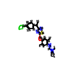 CCN(C)/C=N/c1cc(C)c(Oc2nc(C(C)c3ccc(Cl)cc3)ns2)cc1C